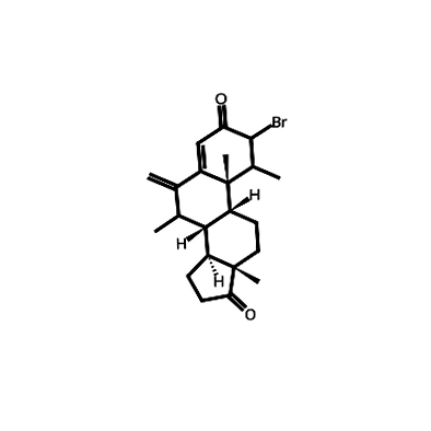 C=C1C2=CC(=O)C(Br)C(C)[C@]2(C)[C@@H]2CC[C@]3(C)C(=O)CC[C@H]3[C@@H]2C1C